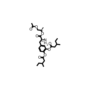 CCC(C)CC(=O)Oc1ccc(C[C@H](N)C(=O)O[C@H](C)COC(C)=O)cc1OC(=O)CC(C)CC